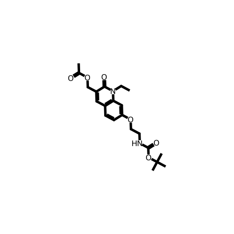 CCn1c(=O)c(COC(C)=O)cc2ccc(OCCNC(=O)OC(C)(C)C)cc21